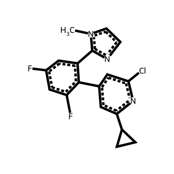 Cn1ccnc1-c1cc(F)cc(F)c1-c1cc(Cl)nc(C2CC2)c1